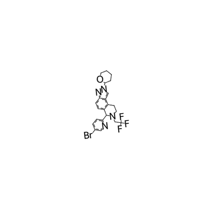 FC(F)(F)CN1CCc2c(ccc3nn(C4CCCCO4)cc23)C1c1ccc(Br)cn1